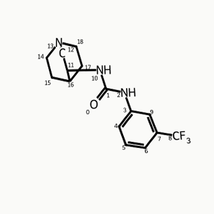 O=C(Nc1cccc(C(F)(F)F)c1)NC1CN2CCC1CC2